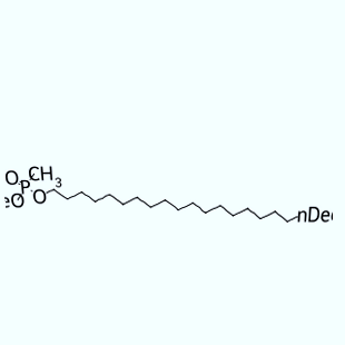 CCCCCCCCCCCCCCCCCCCCCCCCCCCCOP(C)(=O)OC